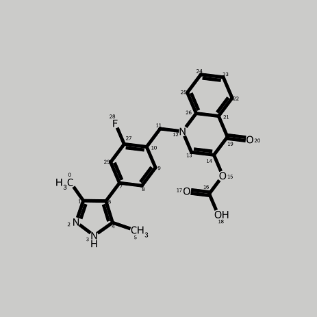 Cc1n[nH]c(C)c1-c1ccc(Cn2cc(OC(=O)O)c(=O)c3ccccc32)c(F)c1